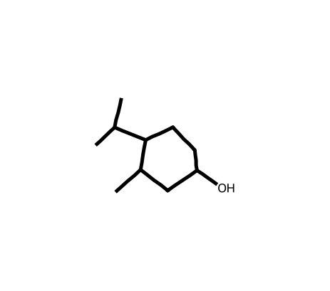 CC(C)C1CCC(O)CC1C